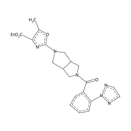 CCOC(=O)c1nc(N2CC3CN(C(=O)c4ccccc4-n4nccn4)CC3C2)oc1C